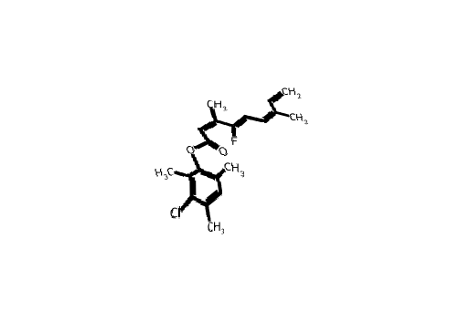 C=CC(C)=CC=C(F)C(C)=CC(=O)Oc1c(C)cc(C)c(Cl)c1C